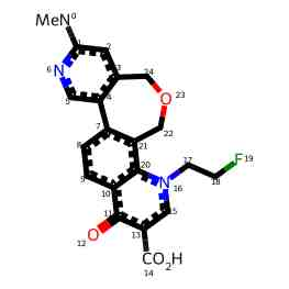 CNc1cc2c(cn1)-c1ccc3c(=O)c(C(=O)O)cn(CCF)c3c1COC2